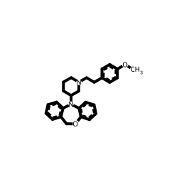 COc1ccc(CCN2CCCC(N3c4ccccc4COc4ccccc43)C2)cc1